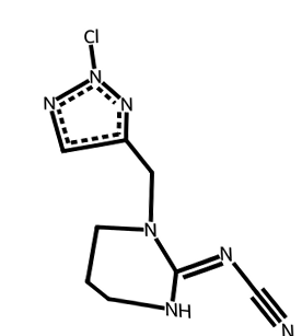 N#CN=C1NCCCN1Cc1cnn(Cl)n1